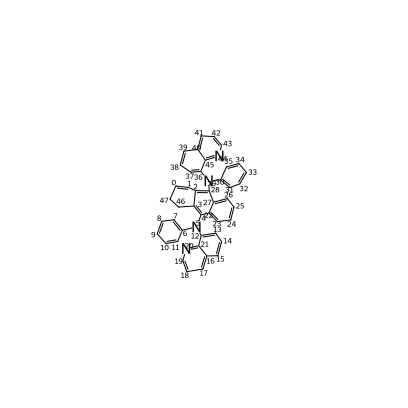 C1=Cc2c(c(N(c3ccccc3)c3cccc4cccnc34)c3ccccc3c2N(c2ccccc2)c2cccc3cccnc23)CC1